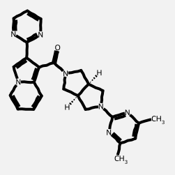 Cc1cc(C)nc(N2C[C@H]3CN(C(=O)c4c(-c5ncccn5)cn5ccccc45)C[C@H]3C2)n1